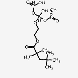 CC(C)(C)CC(C)(C)C(=O)OCCO[PH](O)(O[PH](=O)O)O[PH](=O)O